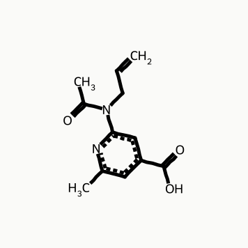 C=CCN(C(C)=O)c1cc(C(=O)O)cc(C)n1